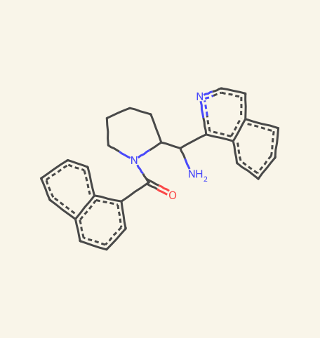 NC(c1nccc2ccccc12)C1CCCCN1C(=O)c1cccc2ccccc12